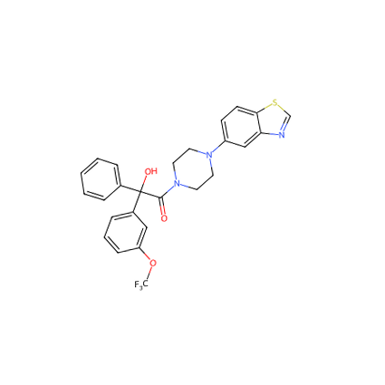 O=C(N1CCN(c2ccc3scnc3c2)CC1)C(O)(c1ccccc1)c1cccc(OC(F)(F)F)c1